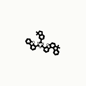 CC1(C)CCc2ccc(-c3nc(-c4cccc5c4oc4ccccc45)nc(-c4cccc5c4oc4ccc6c(c45)-c4ccccc4C6(C)C)n3)cc21